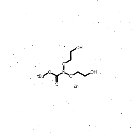 CC(C)(C)OC(=O)N(OCCO)OCCO.[Zn]